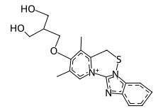 Cc1c[n+]2c(c(C)c1OCC(CO)CO)CSn1c-2nc2ccccc21